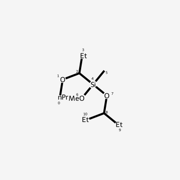 CCCOC(CC)[Si](C)(OC)OC(CC)CC